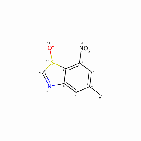 Cc1cc([N+](=O)[O-])c2c(c1)nc[s+]2[O-]